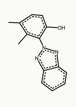 Cc1ccc(O)c(-n2nc3ccccc3n2)c1C